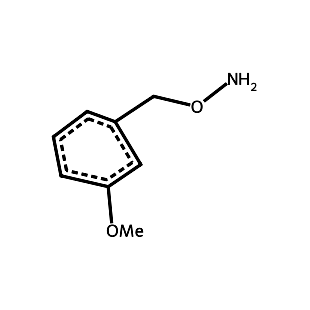 COc1cccc(CON)c1